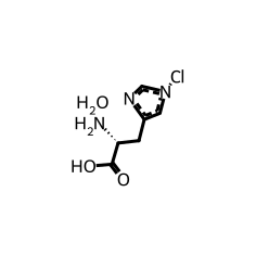 N[C@H](Cc1cn(Cl)cn1)C(=O)O.O